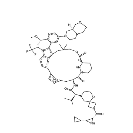 CO[C@@H](C)c1ncc(N2CCN3CCOC[C@@H]3C2)cc1-c1c2c3cc(ccc3n1CC(F)(F)F)-c1csc(n1)C[C@H](NC(=O)[C@H](C(C)C)N1CCOC3(CN(C(=O)[C@@H]4N[C@@H]4C4CC4)C3)C1)C(=O)N1CCC[C@H](N1)C(=O)OCC(C)(C)C2